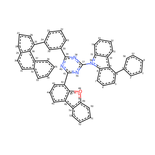 c1ccc(-c2cccc3c2c2ccccc2n3-c2nc(-c3cccc(-c4cccc5ccc6ccccc6c45)c3)nc(-c3cccc4c3oc3ccccc34)n2)cc1